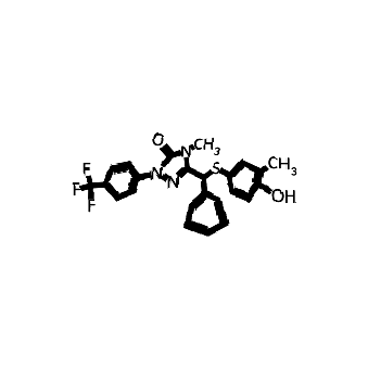 Cc1cc(SC(c2ccccc2)c2nn(-c3ccc(C(F)(F)F)cc3)c(=O)n2C)ccc1O